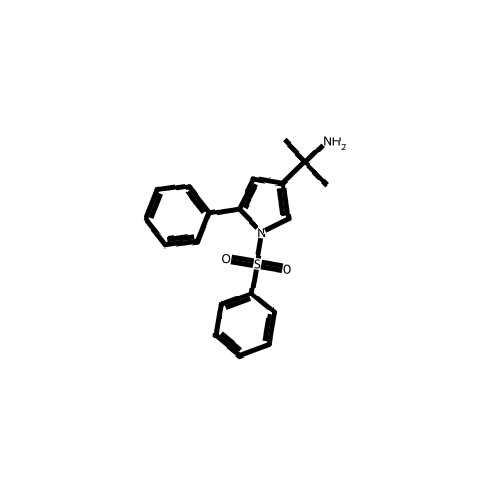 CC(C)(N)c1cc(-c2ccccc2)n(S(=O)(=O)c2ccccc2)c1